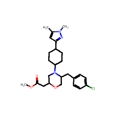 COC(=O)CC1CN(C2CCC(c3cc(C)n(C)n3)CC2)C(Cc2ccc(Cl)cc2)CO1